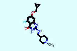 CN1CCC(CNc2nc3cc(OCC4CC4)cc(F)c3c(=O)[nH]2)CC1